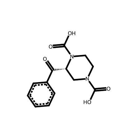 O=C(c1ccccc1)[C@H]1CN(C(=O)O)CCN1C(=O)O